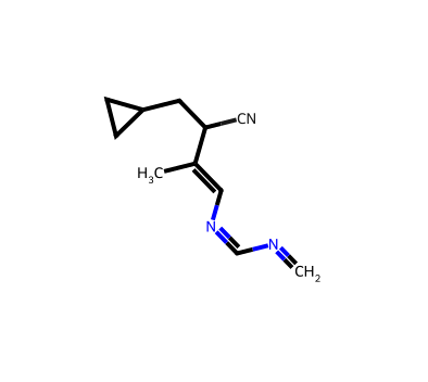 C=N/C=N\C=C(/C)C(C#N)CC1CC1